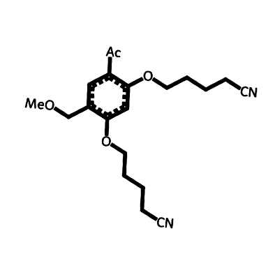 COCc1cc(C(C)=O)c(OCCCCC#N)cc1OCCCCC#N